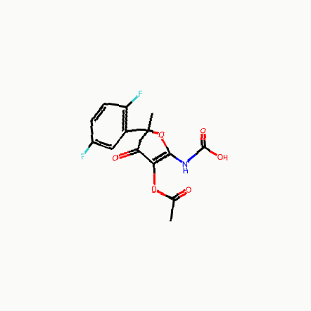 CC(=O)OC1=C(NC(=O)O)OC(C)(c2cc(F)ccc2F)C1=O